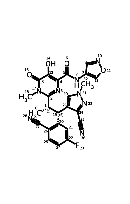 C[C@H](c1nc(C(=O)Nc2cnoc2)c(O)c(=O)n1C)[C@@H](c1cc(F)ccc1C#N)c1cn(C)nc1C#N